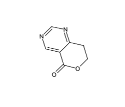 O=C1OCCc2ncncc21